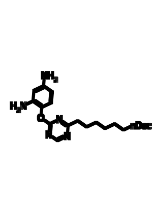 CCCCCCCCCCCCCCCCc1ncnc(Oc2ccc(N)cc2N)n1